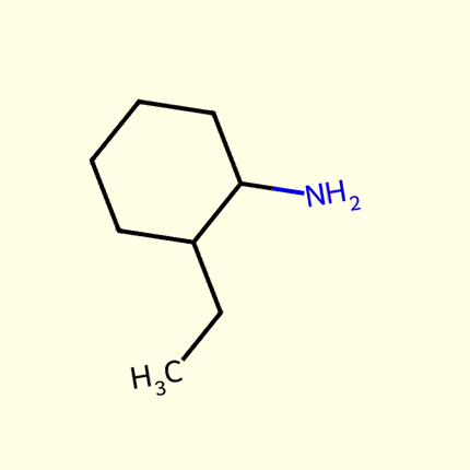 CCC1CCCCC1N